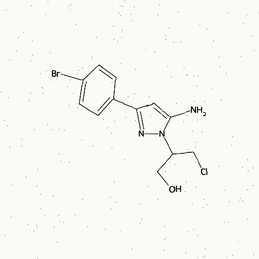 Nc1cc(-c2ccc(Br)cc2)nn1C(CO)CCl